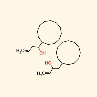 C=CC(O)CC1CCCCCCCCCCC1.C=CCC(O)C1CCCCCCCCCCC1